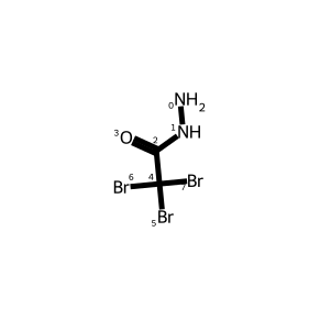 NNC(=O)C(Br)(Br)Br